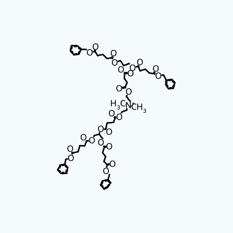 C[N+](C)(CCOC(=O)CCC(=O)OC(COC(=O)CCCC(=O)OCc1ccccc1)COC(=O)CCCC(=O)OCc1ccccc1)CCOC(=O)CCC(=O)OC(COC(=O)CCCC(=O)OCc1ccccc1)COC(=O)CCCC(=O)OCc1ccccc1